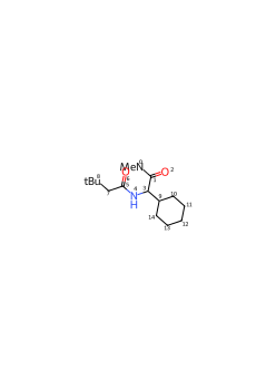 CNC(=O)C(NC(=O)CC(C)(C)C)C1CCCCC1